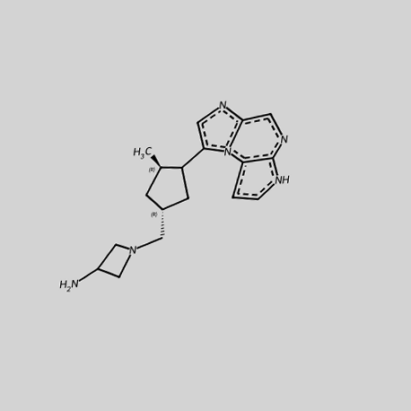 C[C@@H]1C[C@@H](CN2CC(N)C2)CC1c1cnc2cnc3[nH]ccc3n12